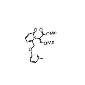 COC=C(C(=O)OC)n1c(COc2cccc(C)c2)cccc1=O